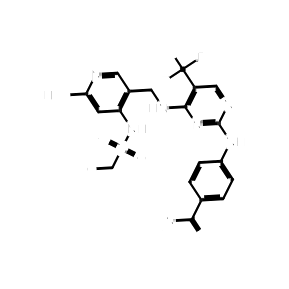 CCS(=O)(=O)Nc1cc(C)ncc1CNc1nc(Nc2ccc(C(N)=O)cc2)ncc1C(F)(F)F